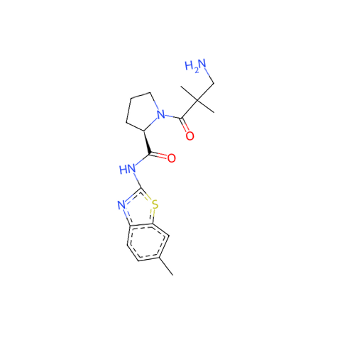 Cc1ccc2nc(NC(=O)[C@H]3CCCN3C(=O)C(C)(C)CN)sc2c1